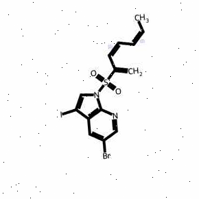 C=C(/C=C\C=C/C)S(=O)(=O)n1cc(I)c2cc(Br)cnc21